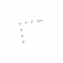 [Cr+6].[F-].[F-].[F-].[F-].[F-].[F-]